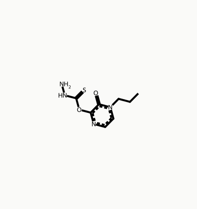 CCCn1ccnc(OC(=S)NN)c1=O